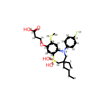 CCCCC1(CC)CN(c2ccc(F)cc2)c2cc(SC)c(OCCC(=O)O)cc2S(O)(O)C1